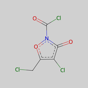 O=C(Cl)n1oc(CCl)c(Cl)c1=O